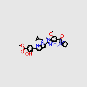 COC(=O)c1ccc(-c2ccc3cc(-c4nc5cc(C(=O)N6CC7CCC6[C@@H]7N)cc(OC)c5n4C)n(CC4CC4)c3n2)cc1O